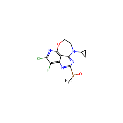 C[S+]([O-])c1nc2c3c(nc(Cl)c(F)c3n1)OCCN2C1CC1